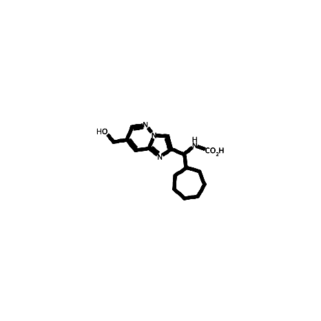 O=C(O)NC(c1cn2ncc(CO)cc2n1)C1CCCCCC1